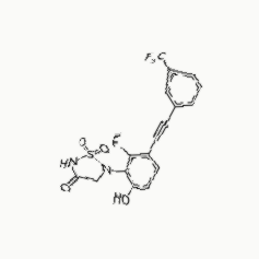 O=C1CN(c2c(O)ccc(C#Cc3cccc(C(F)(F)F)c3)c2F)S(=O)(=O)N1